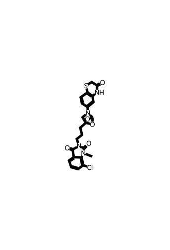 Cn1c(=O)n(CCCC23CN(c4ccc5c(c4)NC(=O)CS5)C(O2)O3)c(=O)c2cccc(Cl)c21